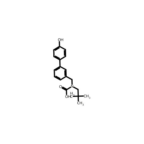 CC(C)(C)CN(Cc1cccc(-c2ccc(O)cc2)c1)C(=O)O